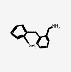 NCc1c[c]ccc1Cc1ccccc1N